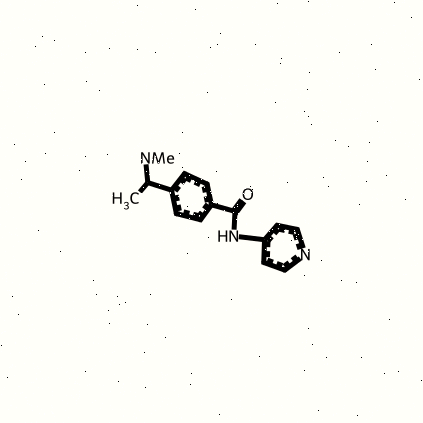 CNC(C)c1ccc(C(=O)Nc2ccncc2)cc1